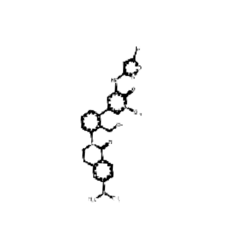 CCc1cc(Nc2cc(-c3cccc(N4CCc5cc(N(C)C)ccc5C4=O)c3CO)cn(C)c2=O)no1